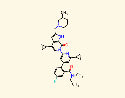 CCN(C)C(=O)c1cc(F)ccc1-c1cc(C2CC2)nc(-n2cc(C3CC3)c3cc(CN4CCC[C@H](C)C4)[nH]c3c2=O)c1